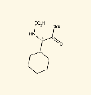 CC(C)(C)C(=O)[C@@H](NC(=O)O)C1CCCCC1